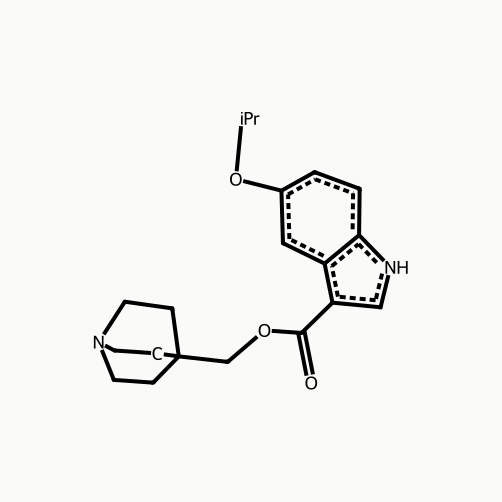 CC(C)Oc1ccc2[nH]cc(C(=O)OCC34CCN(CC3)CC4)c2c1